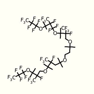 CC(C)(CCOC(C)(C)CC(F)(C(F)(F)F)C(C)(C)OCC(F)(C(F)(F)F)C(C)(C)OC(F)(F)C(F)(F)C(F)(F)F)OCC(F)(C(F)(F)F)C(C)(C)OC(F)(F)C(F)(C(F)(F)F)C(C)(C)OC(F)(F)C(F)(F)C(F)(F)F